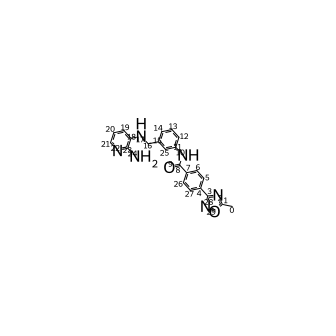 Cc1nc(-c2ccc(C(=O)Nc3cccc(CNc4cccnc4N)c3)cc2)no1